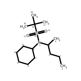 CCCC(C)N(C1CCCCC1)S(=O)(=O)C(C)(C)C